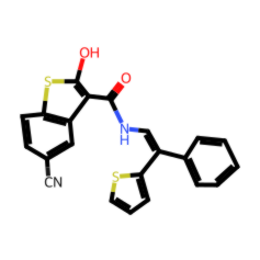 N#Cc1ccc2sc(O)c(C(=O)NC=C(c3ccccc3)c3cccs3)c2c1